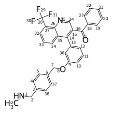 CNCc1ccc(COc2cccc(-c3c(C(=O)c4ccccc4)cnc4c(C(F)(F)F)cccc34)c2)cc1